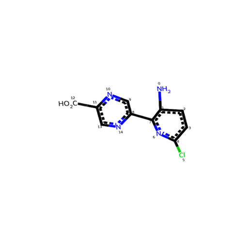 Nc1ccc(Cl)nc1-c1cnc(C(=O)O)cn1